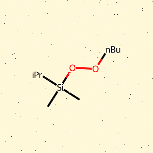 CCCCOO[Si](C)(C)C(C)C